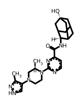 Cc1n[nH]cc1N1CCN(c2nccc(C(=O)N[C@H]3C4CC5CC3C[C@](O)(C5)C4)n2)[C@H](C)C1